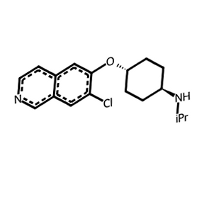 CC(C)N[C@H]1CC[C@H](Oc2cc3ccncc3cc2Cl)CC1